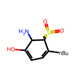 CCCCC1=CC=C(O)C(N)C1=S(=O)=O